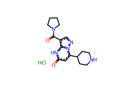 Cl.O=C(c1cnn2c(C3CCNCC3)cc(=O)[nH]c12)N1CCCC1